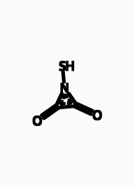 O=c1c(=O)n1S